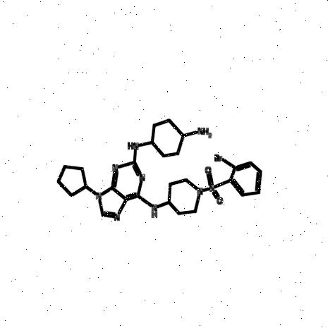 NC1CCC(Nc2nc(NC3CCN(S(=O)(=O)c4ccccc4Br)CC3)c3ncn(C4CCCC4)c3n2)CC1